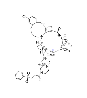 CO[C@@]1(CN2CCN3CCN(C(=O)CCS(=O)(=O)c4ccccc4)C[C@@H]3C2)/C=C/C[C@H](C)[C@@H](C)S(=O)(=O)NC(=O)c2ccc3c(c2)N(CCCCC2C=C(Cl)C=CC2CO3)C[C@@H]2CC[C@H]21